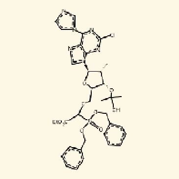 CCOC(=O)C(OC[C@H]1O[C@@H](n2cnc3c(-n4ccnc4)nc(Cl)nc32)[C@H](C)[C@@H]1OC(C)(C)O)P(=O)(OCc1ccccc1)OCc1ccccc1